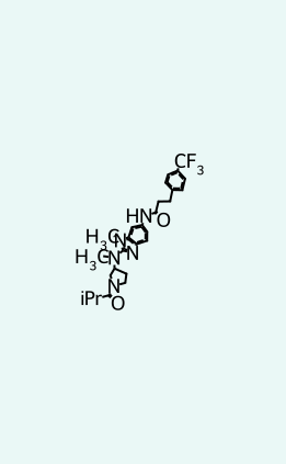 CC(C)C(=O)N1CCC(N(C)c2nc3ccc(NC(=O)CCc4ccc(C(F)(F)F)cc4)cc3n2C)C1